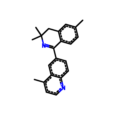 Cc1ccc2c(c1)CC(C)(C)N=C2c1ccc2nccc(C)c2c1